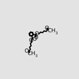 CC(=O)CCCCCOC(=O)c1ccccc1C(=O)OCCCCCC(C)=O